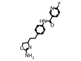 NC1=NC(CCc2ccc(NC(=O)c3ccc(F)nc3)cc2)CO1